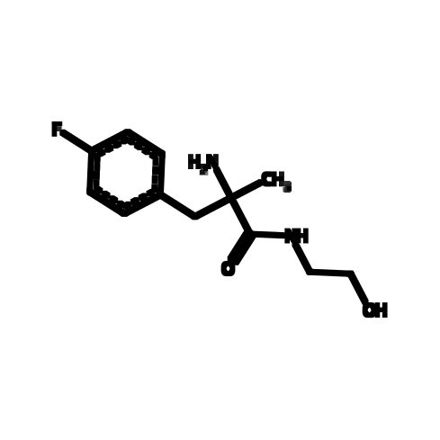 CC(N)(Cc1ccc(F)cc1)C(=O)NCCO